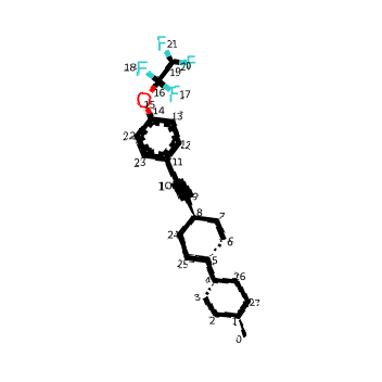 C[C@H]1CC[C@H]([C@H]2CC[C@H](C#Cc3ccc(OC(F)(F)C(F)F)cc3)CC2)CC1